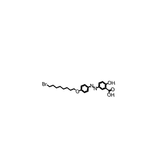 O=C(O)c1cc(N=Nc2ccc(OCCCCCCCCBr)cc2)ccc1O